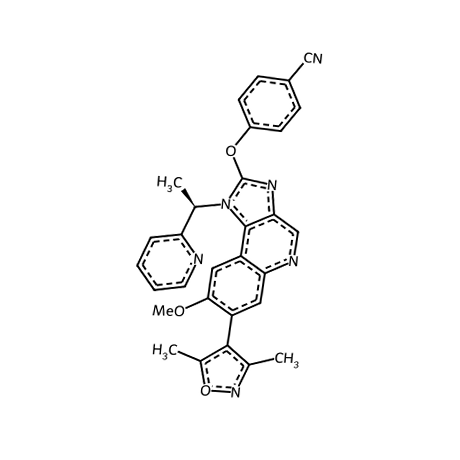 COc1cc2c(cc1-c1c(C)noc1C)ncc1nc(Oc3ccc(C#N)cc3)n([C@H](C)c3ccccn3)c12